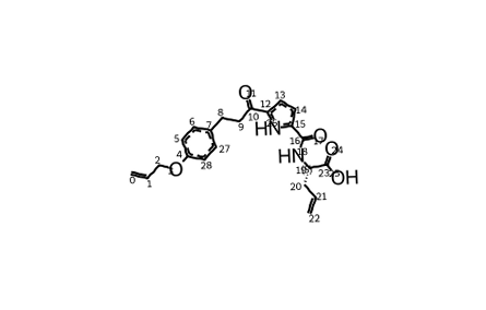 C=CCOc1ccc(CCC(=O)c2ccc(C(=O)N[C@@H](CC=C)C(=O)O)[nH]2)cc1